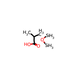 CC(C)C(=O)O.[SiH3]O[SiH3]